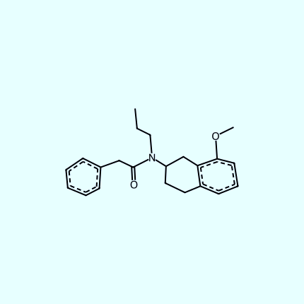 CCCN(C(=O)Cc1ccccc1)C1CCc2cccc(OC)c2C1